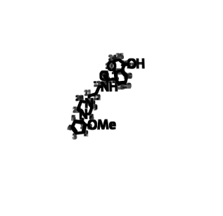 COc1ccccc1N1CCN(CCCNC(=O)c2cccc3c2OCCC3O)CC1